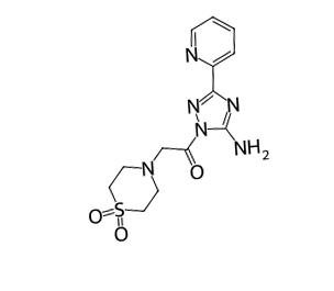 Nc1nc(-c2ccccn2)nn1C(=O)CN1CCS(=O)(=O)CC1